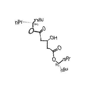 CCCC[C@@H](CCC)OC(=O)CC(O)CC(=O)O[C@H](CCC)CCCC